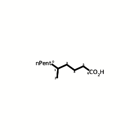 CCCCCC(C)CCCC(=O)O